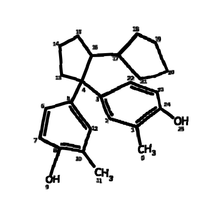 Cc1cc(C2(c3ccc(O)c(C)c3)CCCC2C2CCCC2)ccc1O